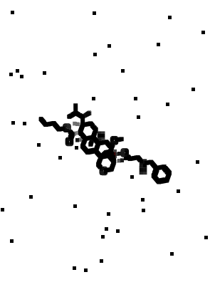 CCCCOC(=O)[C@@H]1[C@@](C)([C@H](C)C(C)C)CC[C@]2(C)[C@H]3CC[C@@H]4C5(COC[C@]4(C)[C@@H](OCCNCc4ccccc4)[C@H](OC)C5)C3=CC[C@@]12C